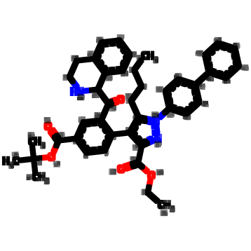 CCCCc1c(-c2ccc(C(=O)OC(C)(C)C)cc2C(=O)C2NCCc3ccccc32)c(C(=O)OCC)nn1-c1ccc(-c2ccccc2)cc1